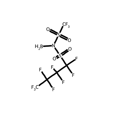 BN(S(=O)(=O)C(F)(F)F)S(=O)(=O)C(F)(F)C(F)(F)C(F)(F)C(F)(F)F